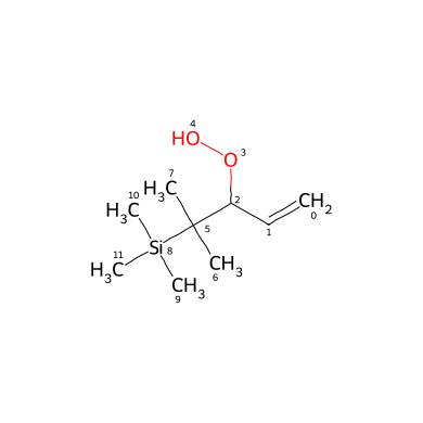 C=CC(OO)C(C)(C)[Si](C)(C)C